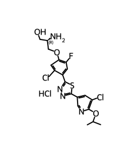 CC(C)Oc1ncc(-c2nnc(-c3cc(F)c(OC[C@H](N)CO)cc3Cl)s2)cc1Cl.Cl